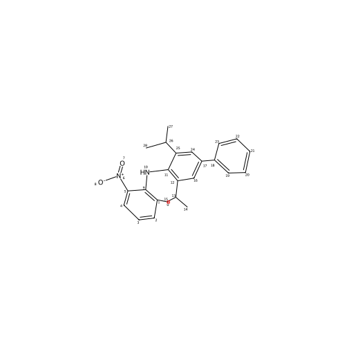 Cc1cccc([N+](=O)[O-])c1Nc1c(C(C)C)cc(-c2ccccc2)cc1C(C)C